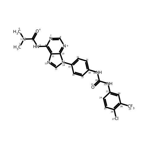 CN(C)C(=O)Nc1ncnc2c1ncn2-c1ccc(NC(=O)Nc2ccc(Cl)c(C(F)(F)F)c2)cc1